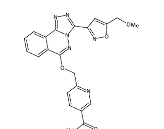 COCc1cc(-c2nnc3c4ccccc4c(OCc4ccc(C(N)=O)cn4)nn23)no1